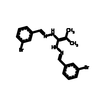 CC(C)=C(N/N=C/c1cccc(Br)c1)N/N=C/c1cccc(Br)c1